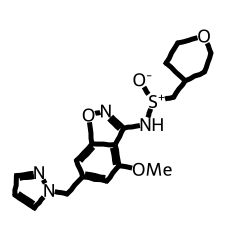 COc1cc(Cn2cccn2)cc2onc(N[S+]([O-])CC3CCOCC3)c12